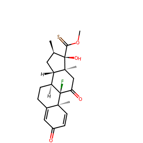 COC(=S)[C@@]1(O)[C@H](C)C[C@H]2[C@@H]3CCC4=CC(=O)C=C[C@]4(C)[C@@]3(F)C(=O)C[C@@]21C